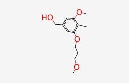 COCCCOc1cc(CO)cc(OC)c1C